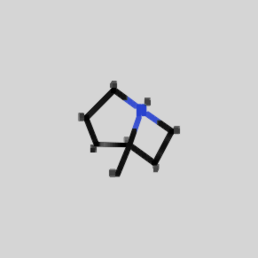 CC12CCCN1CC2